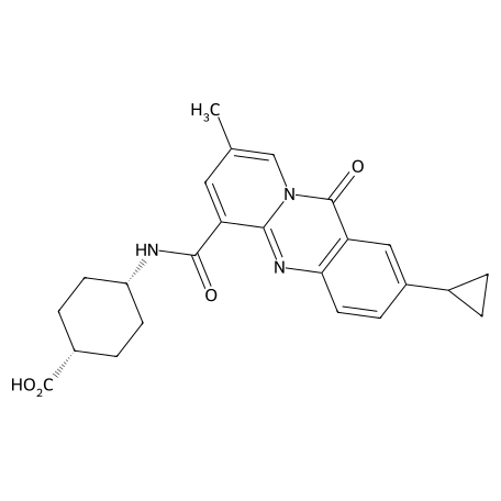 Cc1cc(C(=O)N[C@H]2CC[C@@H](C(=O)O)CC2)c2nc3ccc(C4CC4)cc3c(=O)n2c1